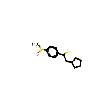 C[S+]([O-])c1ccc(C(S)CC2CCCC2)cc1